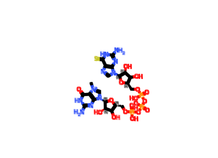 C[n+]1cn([C@@H]2O[C@H](COP(=O)(O)OP(=O)(O)OP(=O)(O)OC[C@H]3O[C@@H](n4cnc5c(=S)[nH]c(N)nc54)[C@@H](O)C3O)C(O)[C@@H]2O)c2nc(N)[nH]c(=O)c21